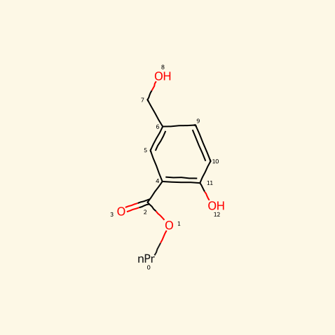 CCCOC(=O)c1cc(CO)ccc1O